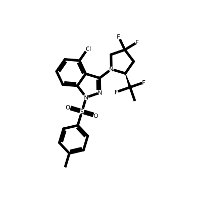 Cc1ccc(S(=O)(=O)n2nc(N3CC(F)(F)C[C@H]3C(C)(F)F)c3c(Cl)cccc32)cc1